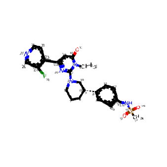 Cn1c(N2CCC[C@@H](c3ccc(NS(C)(=O)=O)cc3)C2)nc(-c2ccncc2F)cc1=O